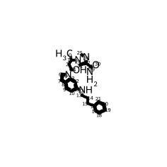 CC(CC(O)n1ccc2ccc(NCCCc3ccccc3)cc21)n1cnc(C(N)=O)c1